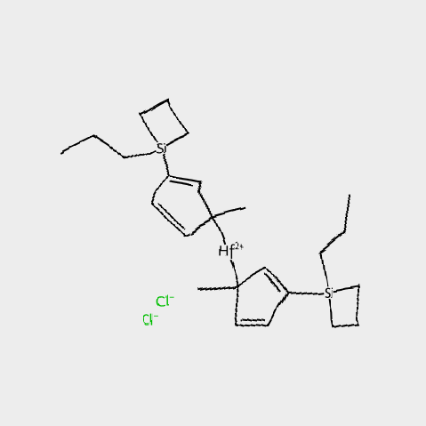 CCC[Si]1(C2=C[C](C)([Hf+2][C]3(C)C=CC([Si]4(CCC)CCC4)=C3)C=C2)CCC1.[Cl-].[Cl-]